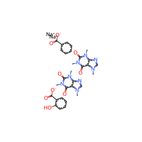 Cn1c(=O)c2c(ncn2C)n(C)c1=O.Cn1c(=O)c2c(ncn2C)n(C)c1=O.O=C([O-])c1ccccc1.O=C([O-])c1ccccc1O.[Na+].[Na+]